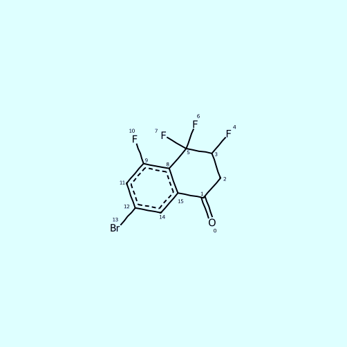 O=C1CC(F)C(F)(F)c2c(F)cc(Br)cc21